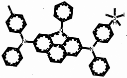 Cc1ccc(N(c2ccccc2)c2cc3ccc4cc(N(c5ccccc5)c5ccc([SH](C)(C)(C)I)cc5)cc5c4c3c(c2)n5-c2ccccc2)cc1